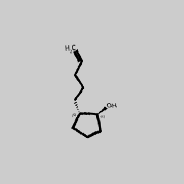 C=CCCC[C@H]1CCC[C@@H]1O